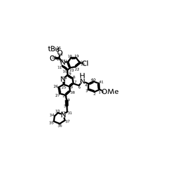 COc1ccc(NCc2cc(-c3cn(C(=O)OC(C)(C)C)c4ccc(Cl)cc34)nc3ccc(C#CCN4CCCCC4)cc23)cc1